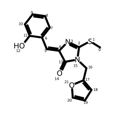 CSC1=N/C(=C\c2ccccc2O)C(=O)N1Cc1ccco1